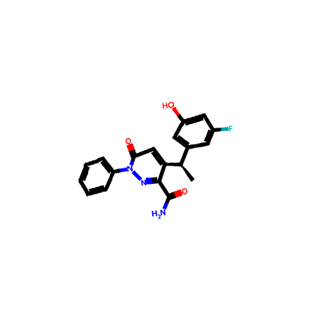 C[C@H](c1cc(O)cc(F)c1)c1cc(=O)n(-c2ccccc2)nc1C(N)=O